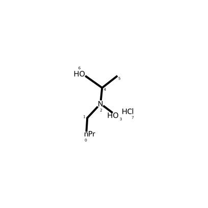 CCCCN(O)C(C)O.Cl